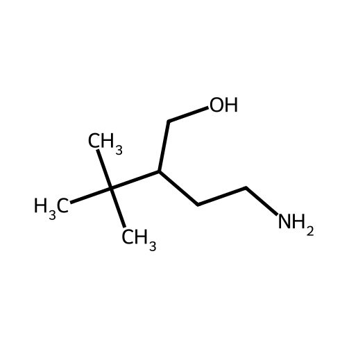 CC(C)(C)C(CO)CCN